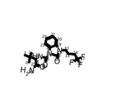 CC(C)(C)[C@H](NC(=O)n1c(=O)n(CCCC(F)(F)F)c2ccccc21)C(N)=O